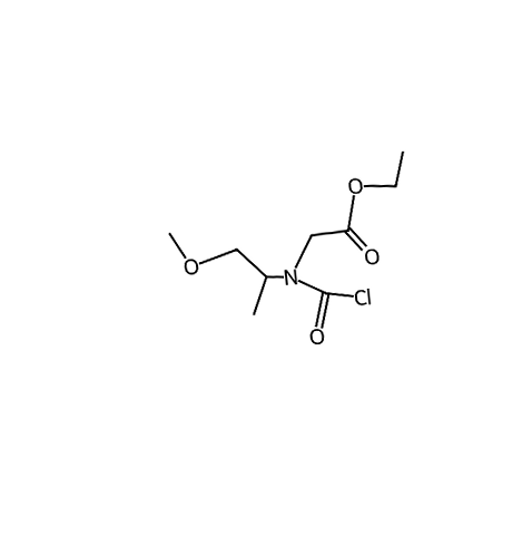 CCOC(=O)CN(C(=O)Cl)C(C)COC